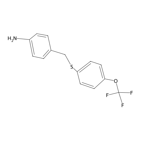 Nc1ccc(CSc2ccc(OC(F)(F)F)cc2)cc1